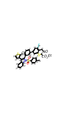 CCOC(=O)CSc1cc(-c2cccc(-c3c(-c4ccsc4C#N)c4ccccc4n3S(=O)(=O)c3ccc(C)cc3)c2)cc(F)c1CN=O